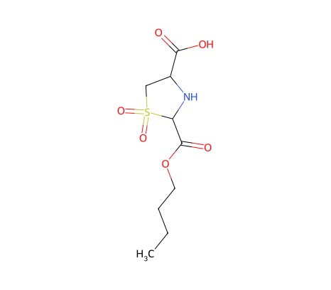 CCCCOC(=O)C1NC(C(=O)O)CS1(=O)=O